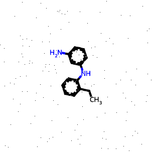 CCc1ccccc1Nc1cccc(N)c1